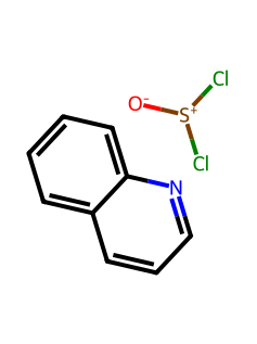 [O-][S+](Cl)Cl.c1ccc2ncccc2c1